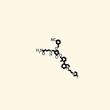 Cc1c(COc2cc(OCc3cccc(C#N)c3)c(CNCCCC(N)=O)cc2Cl)cccc1-c1cccc2c1CCN2CCCN1CCC(F)C1